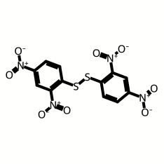 O=[N+]([O-])c1ccc(SSc2ccc([N+](=O)[O-])cc2[N+](=O)[O-])c([N+](=O)[O-])c1